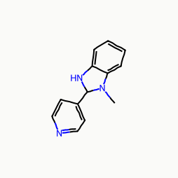 CN1c2ccccc2NC1c1ccncc1